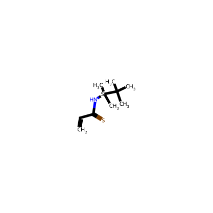 C=CC(=S)N[Si](C)(C)C(C)(C)C